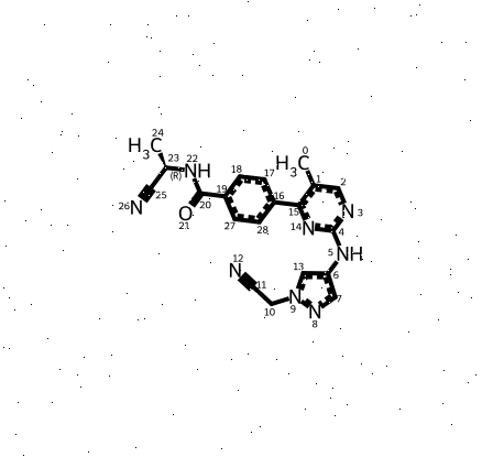 Cc1cnc(Nc2cnn(CC#N)c2)nc1-c1ccc(C(=O)N[C@H](C)C#N)cc1